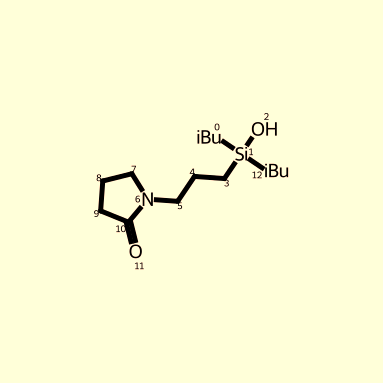 CCC(C)[Si](O)(CCCN1CCCC1=O)C(C)CC